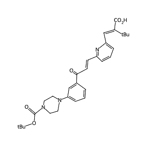 CC(C)(C)OC(=O)N1CCN(c2cccc(C(=O)C=Cc3cccc(C=C(C(=O)O)C(C)(C)C)n3)c2)CC1